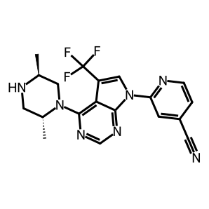 C[C@@H]1CN[C@@H](C)CN1c1ncnc2c1c(C(F)(F)F)cn2-c1cc(C#N)ccn1